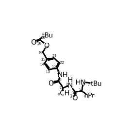 CC(NC(=O)C(NC(C)(C)C)C(C)C)C(=O)Nc1ccc(COC(=O)C(C)(C)C)cc1